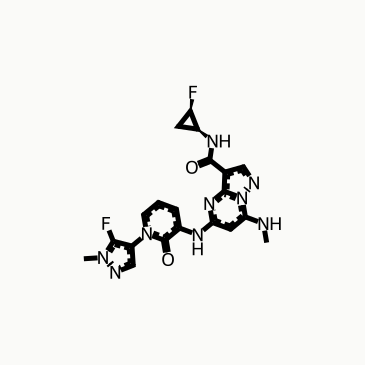 CNc1cc(Nc2cccn(-c3cnn(C)c3F)c2=O)nc2c(C(=O)N[C@H]3C[C@H]3F)cnn12